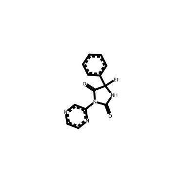 CCC1(c2ccccc2)NC(=O)N(c2cnccn2)C1=O